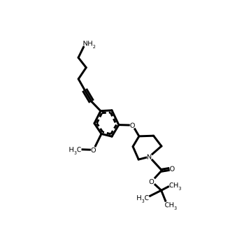 COc1cc(C#CCCCN)cc(OC2CCN(C(=O)OC(C)(C)C)CC2)c1